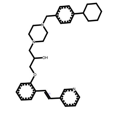 OC(COc1ccccc1/C=C/c1cccnc1)CN1CCN(Cc2ccc(C3CCCCC3)cc2)CC1